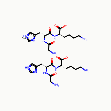 NCCCC[C@H](NC(=O)[C@@H](Cc1c[nH]cn1)NC(=O)CN)C(=O)[O-].NCCCC[C@H](NC(=O)[C@@H](Cc1c[nH]cn1)NC(=O)CN)C(=O)[O-].[Cu+2]